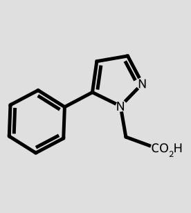 O=C(O)Cn1nccc1-c1ccccc1